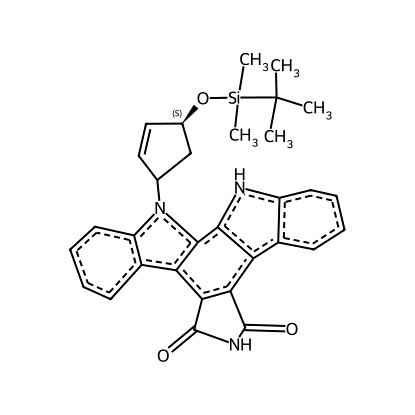 CC(C)(C)[Si](C)(C)O[C@@H]1C=CC(n2c3ccccc3c3c4c(c5c6ccccc6[nH]c5c32)C(=O)NC4=O)C1